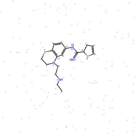 CCNCCN1CCSc2ccc(NC(=N)C3CC=CS3)cc21